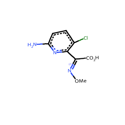 CO/N=C(\C(=O)O)c1nc(N)ccc1Cl